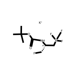 CC(C)(C)OC(=O)N[C@@H](CF)C[B-](F)(F)F.[K+]